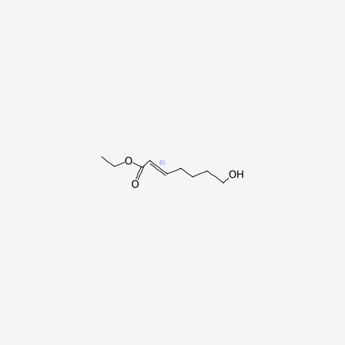 CCOC(=O)/C=C/CCCCO